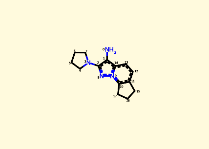 Nc1c(N2CCCC2)nn2c3c(ccc12)CCC3